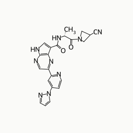 C[C@@H](NC(=O)c1c[nH]c2ncc(-c3cc(-n4cccn4)ccn3)nc12)C(=O)N1CC(C#N)C1